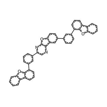 c1cc(-c2ccc3oc4nc(-c5cccc(-c6cccc7c6oc6ccccc67)c5)cnc4c3c2)cc(-c2cccc3c2oc2ccccc23)c1